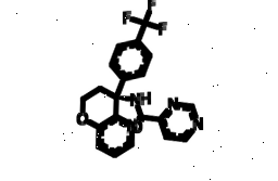 O=C(N[C@]1(c2ccc(C(F)(F)F)cc2)CCOc2cccnc21)c1ccncn1